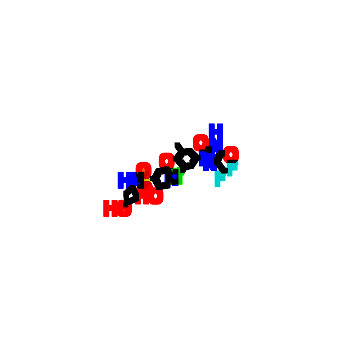 Cc1cc(-n2nc(C(F)F)c(=O)[nH]c2=O)cc(Cl)c1Oc1cc(S(=O)(=O)N[C@H]2C[C@H](O)C2)c(O)cn1